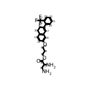 NCC(N)C(=O)OCCCOc1ccc2c(c1)C=C(c1ccccc1C(F)(F)F)CC2